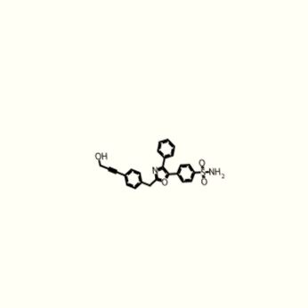 NS(=O)(=O)c1ccc(-c2oc(Cc3ccc(C#CCO)cc3)nc2-c2ccccc2)cc1